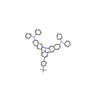 CC(C)(C)c1ccc(-c2cc3c4cc5ccc(N(c6ccccc6)c6ccccc6)cc5cc4n4c5cc6cc(N(c7ccccc7)c7ccccc7)ccc6cc5c(c2)c34)cc1